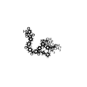 Cc1cc(F)c(Nc2nc(-c3ccc4c(c3)N(C3CC(N5CCCCC5)C3)C(=O)C43CCN(C(=O)C4CCC(C(=O)N5CCN(c6ccc7c(c6)C(=O)N(C6CCC(=O)NC6=O)C7=O)CC5)CC4)CC3)cc3ncn(C(C)C)c23)cc1C(=O)NC(C)C